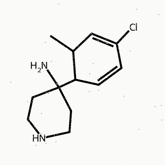 CC1C=C(Cl)C=CC1C1(N)CCNCC1